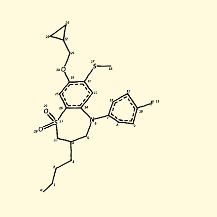 CCCCC1CN(c2ccc(F)cc2)c2cc(SC)c(OCC3CC3)cc2S(=O)(=O)C1